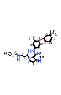 O=C(O)NCCCn1ccc2ncnc(Nc3ccc(Oc4cccc(C(F)(F)F)c4)c(Cl)c3)c21